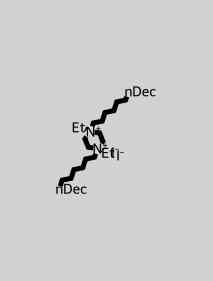 CCCCCCCCCCCCCCCC[N+]1(CC)CC[N+](CC)(CCCCCCCCCCCCCCCC)CC1.[I-].[I-]